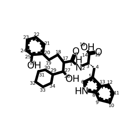 O=C(N[C@@H](Cc1c[nH]c2ccccc12)C(=O)O)C(CCc1ccccc1O)C(O)C1CCCCC1